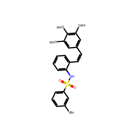 COc1cc(/C=C\c2ccccc2NS(=O)(=O)c2cccc(C(C)(C)C)c2)cc(OC)c1OC